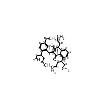 CCCC(CC)c1ccc(CC)cc1C=C(O)C(=O)c1c(C(CC)CCC)cccc1C(CC)CCC